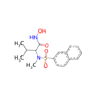 CC(C)C(C(=O)NO)N(C)S(=O)(=O)c1ccc2ccccc2c1